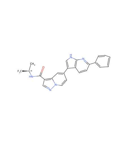 C[C@@H](NC(=O)c1cnn2ccc(-c3c[nH]c4nc(-c5ccccc5)ccc34)cc12)C(F)(F)F